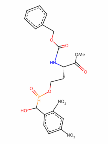 COC(=O)[C@H](CCO[PH](=O)C(O)c1ccc([N+](=O)[O-])cc1[N+](=O)[O-])NC(=O)OCc1ccccc1